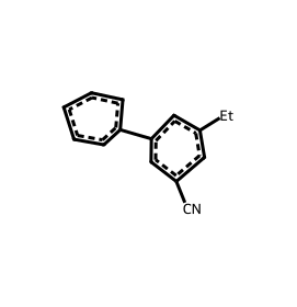 CCc1cc(C#N)cc(-c2ccccc2)c1